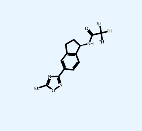 [2H]C([2H])([2H])C(=O)N[C@@H]1CCc2cc(-c3noc(CC)n3)ccc21